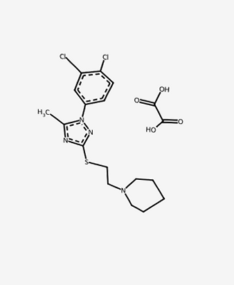 Cc1nc(SCCN2CCCCC2)nn1-c1ccc(Cl)c(Cl)c1.O=C(O)C(=O)O